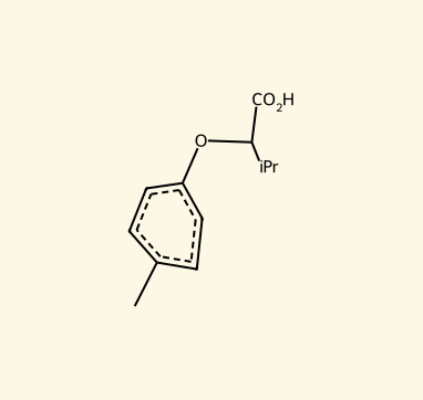 Cc1ccc(OC(C(=O)O)C(C)C)cc1